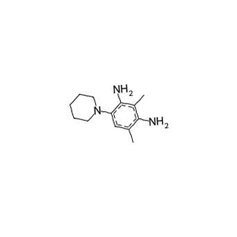 Cc1cc(N2CCCCC2)c(N)c(C)c1N